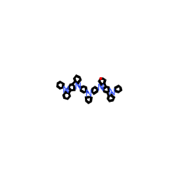 C1=Cc2c(c3cc4c(cc3n2-c2ccccc2)c2ccccc2n4-c2ccc(N(c3ccccc3)c3ccc(-n4c5ccccc5c5cc6c(cc54)c4ccccc4n6-c4ccccc4)cc3)cc2)CC1